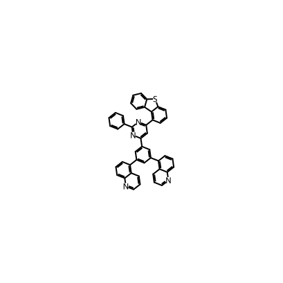 c1ccc(-c2nc(-c3cc(-c4cccc5ncccc45)cc(-c4cccc5ncccc45)c3)cc(-c3cccc4sc5ccccc5c34)n2)cc1